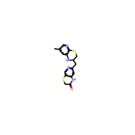 Cc1cnc2c(c1)NC(Cc1cc3c(cn1)SCC(=O)N3)CS2